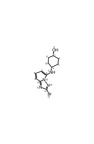 O[C@H]1CC[C@@H](Nc2cccc3nc(Br)nn23)CC1